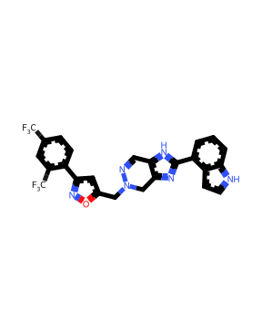 FC(F)(F)c1ccc(-c2cc(CN3Cc4nc(-c5cccc6[nH]ccc56)[nH]c4C=N3)on2)c(C(F)(F)F)c1